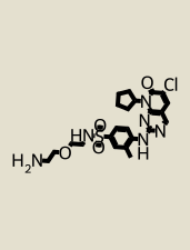 Cc1cc(S(=O)(=O)NCCOCCN)ccc1Nc1ncc2cc(Cl)c(=O)n(C3CCCC3)c2n1